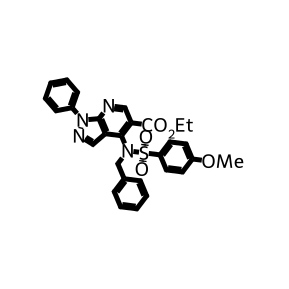 CCOC(=O)c1cnc2c(cnn2-c2ccccc2)c1N(Cc1ccccc1)S(=O)(=O)c1ccc(OC)cc1